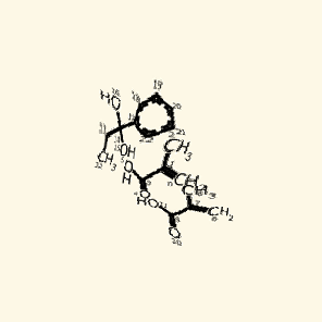 C=C(C)C(=O)O.C=C(C)C(=O)O.CCC(O)(O)c1ccccc1